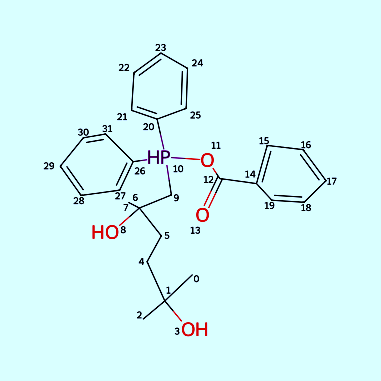 CC(C)(O)CCC(C)(O)C[PH](OC(=O)c1ccccc1)(c1ccccc1)c1ccccc1